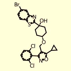 O[C@]1(c2nc3cc(Br)ccc3s2)CC[C@H](OCc2c(-c3c(Cl)cccc3Cl)noc2C2CC2)CC1